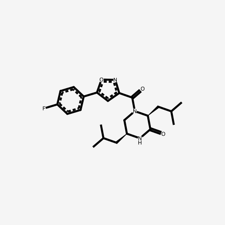 CC(C)C[C@H]1CN(C(=O)c2cc(-c3ccc(F)cc3)on2)[C@@H](CC(C)C)C(=O)N1